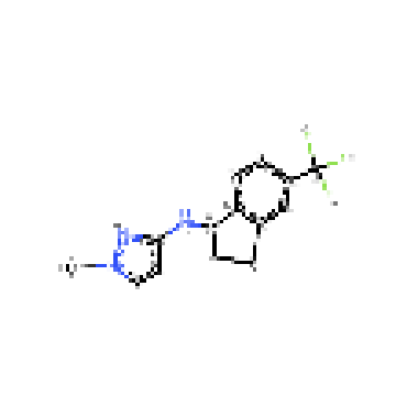 Cn1ccc(N[C@@H]2CCc3cc(C(F)(F)F)ccc32)n1